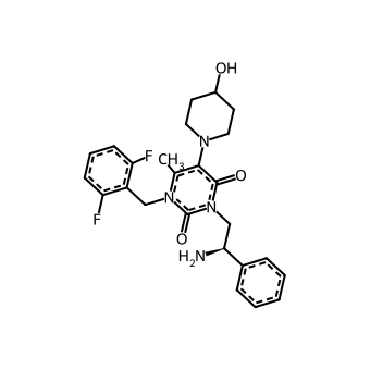 Cc1c(N2CCC(O)CC2)c(=O)n(C[C@H](N)c2ccccc2)c(=O)n1Cc1c(F)cccc1F